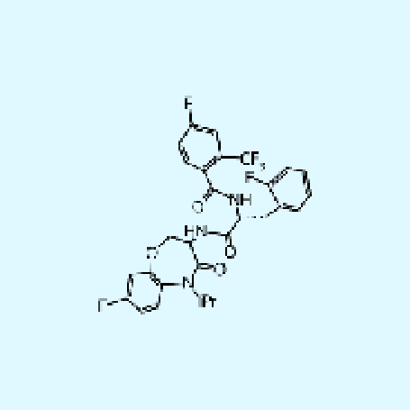 CC(C)N1C(=O)[C@H](NC(=O)[C@@H](Cc2ccccc2F)NC(=O)c2ccc(F)cc2C(F)(F)F)COc2cc(F)ccc21